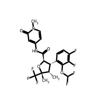 C[C@H]1[C@@H](c2ccc(F)c(F)c2OC(F)F)[C@H](C(=O)Nc2ccn(C)c(=O)c2)O[C@@]1(C)C(F)(F)F